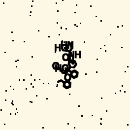 CCc1ccccc1Oc1ccccc1[C@](O)(CCCCOC)[C@@H]1CCCN(C(=O)N[C@@H](CO)CNC)C1